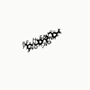 Cc1cc(C(F)(F)F)cc(NC(=O)c2ccc(-c3nn4c(c3C(N)=O)Nc3ccc(C(C)C)cc3CC4)c(F)c2C)n1